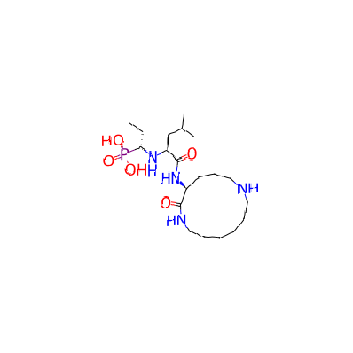 CC[C@H](N[C@@H](CC(C)C)C(=O)N[C@H]1CCCNCCCCCCNC1=O)P(=O)(O)O